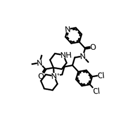 CN(C)C(=O)C1([N+]2(CCC(CN(C)C(=O)c3ccncc3)c3ccc(Cl)c(Cl)c3)CCCCC2)CCNCC1